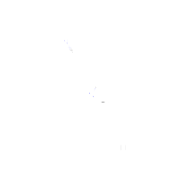 CCCCCC1=CN=C([C@H]2CC[C@H](C#N)CC2)SC1